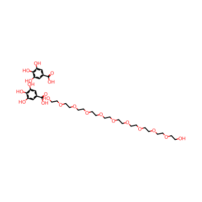 O=C(O)c1cc(O)c(O)c(O)c1.O=C(O)c1cc(O)c(O)c(O)c1.OCCOCCOCCOCCOCCOCCOCCOCCOCCOCCO